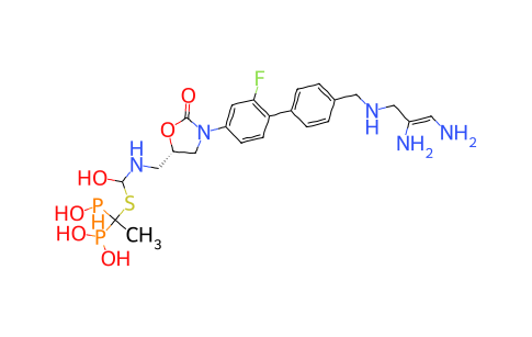 CC(PO)(SC(O)NC[C@H]1CN(c2ccc(-c3ccc(CNC/C(N)=C/N)cc3)c(F)c2)C(=O)O1)P(O)O